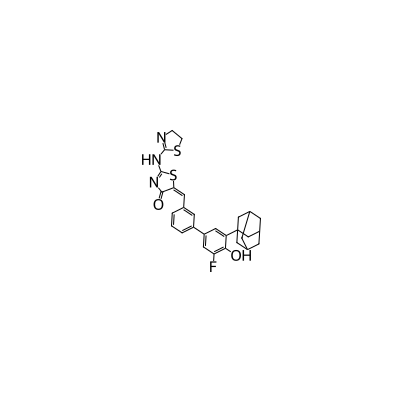 O=C1N=C(NC2=NCCS2)S/C1=C/c1cccc(-c2cc(F)c(O)c(C34CC5CC(CC(C5)C3)C4)c2)c1